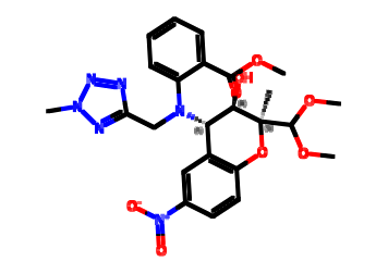 COC(=O)c1ccccc1N(Cc1nnn(C)n1)[C@H]1c2cc([N+](=O)[O-])ccc2O[C@](C)(C(OC)OC)[C@@H]1O